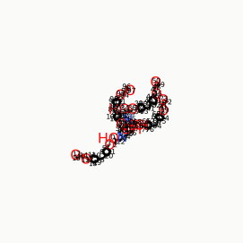 OC(COc1ccc(Cc2ccc(OCC3CO3)cc2)cc1)CN(Cc1cccc(CN(CC(O)COc2ccc(Cc3ccc(OCC4CO4)cc3)cc2)CC(O)COc2ccc(Cc3ccc(OCC4CO4)cc3)cc2)c1)CC(O)COc1ccc(Cc2ccc(OCC3CO3)cc2)cc1